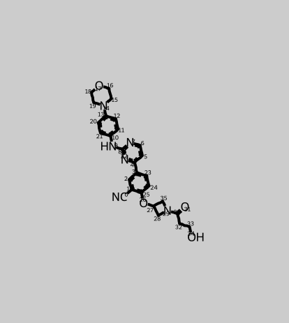 N#Cc1cc(-c2ccnc(Nc3ccc(N4CCOCC4)cc3)n2)ccc1OC1CN(C(=O)CCO)C1